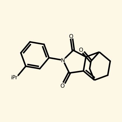 CC(C)c1cccc(N2C(=O)C3=C4CCC(C(=O)C4)C3C2=O)c1